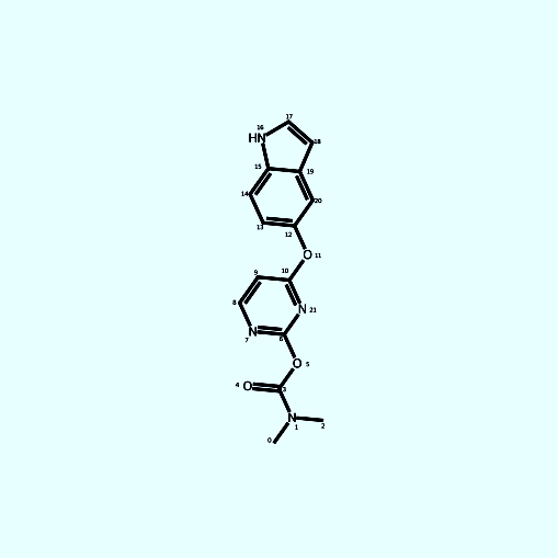 CN(C)C(=O)Oc1nccc(Oc2ccc3[nH]ccc3c2)n1